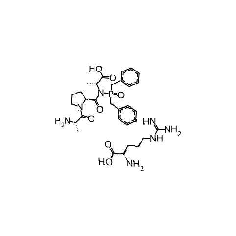 C[C@H](N)C(=O)N1CCC[C@H]1C(=O)N([C@H](C)C(=O)O)P(=O)(Cc1ccccc1)Cc1ccccc1.N=C(N)NCCC[C@H](N)C(=O)O